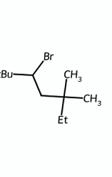 CCC(C)(C)CC(Br)C(C)(C)C